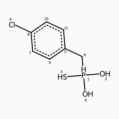 O[PH](O)(S)Cc1ccc(Cl)cc1